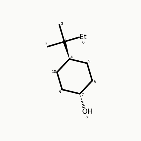 CCC(C)(C)[C@H]1CC[C@H](O)CC1